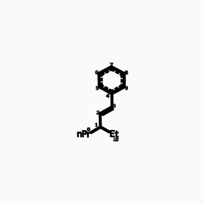 CCCC(C=Cc1ccccc1)CC